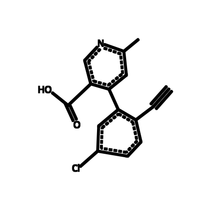 C#Cc1ccc(Cl)cc1-c1cc(C)ncc1C(=O)O